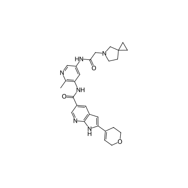 Cc1ncc(NC(=O)CN2CCC3(CC3)C2)cc1NC(=O)c1cnc2[nH]c(C3=CCOCC3)cc2c1